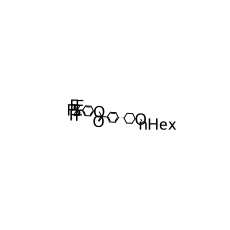 CCCCCCO[C@H]1CC[C@H](c2ccc(C(=O)Oc3ccc(S(F)(F)(F)(F)F)cc3)cc2)CC1